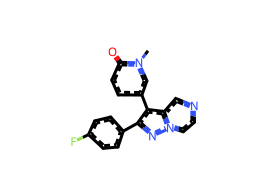 Cn1cc(-c2c(-c3ccc(F)cc3)nn3ccncc23)ccc1=O